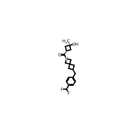 C[C@]1(O)C[C@@H](C(=O)N2CC3(CC(Cc4ccc(C(F)F)cc4)C3)C2)C1